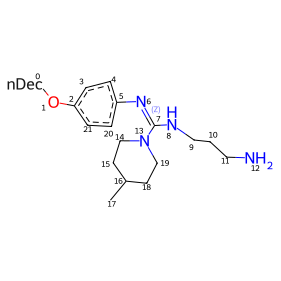 CCCCCCCCCCOc1ccc(/N=C(/NCCCN)N2CCC(C)CC2)cc1